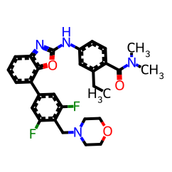 CCc1cc(Nc2nc3cccc(-c4cc(F)c(CN5CCOCC5)c(F)c4)c3o2)ccc1C(=O)N(C)C